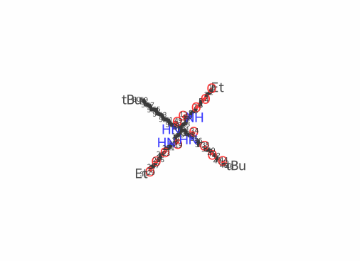 CCOCCOCCOCCNC(=O)CCC(CCC(=O)NCCOCCOCCOCC)(CCC(=O)NCCOCCOCCOCC(C)(C)C)NC(=O)CCCCCCCCCCC(C)(C)C